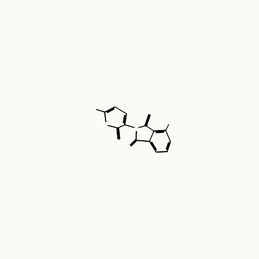 O=C1c2cccc(F)c2C(=O)N1c1ccc(C(F)(F)F)[nH]c1=O